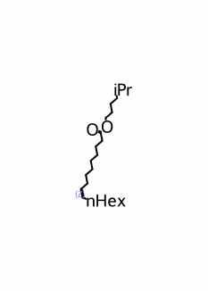 CCCCCC/C=C\CCCCCCCC(=O)OCCCCC(C)C